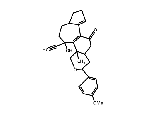 C#CC1(O)CCC2CCC=C2C2=C1C1(C)COC(c3ccc(OC)cc3)CC1CC2=O